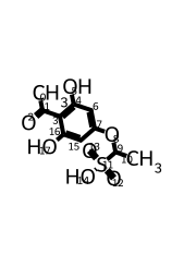 CC(=O)c1c(O)cc(OC(C)S(=O)(=O)O)cc1O